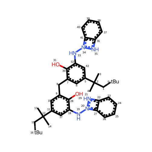 CC(C)(C)CC(C)(C)c1cc(Cc2cc(C(C)(C)CC(C)(C)C)cc(Nn3[nH]c4ccccc43)c2O)c(O)c(Nn2[nH]c3ccccc32)c1